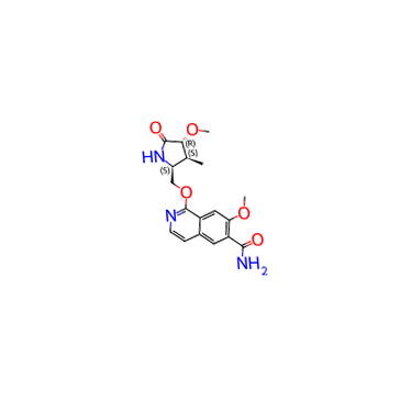 COc1cc2c(OC[C@H]3NC(=O)[C@H](OC)[C@H]3C)nccc2cc1C(N)=O